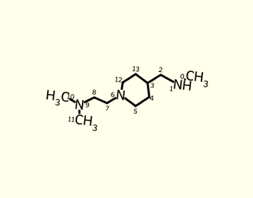 CNCC1CCN(CCN(C)C)CC1